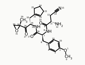 COc1ccc(C[C@H](NC(=O)[C@@H](N)CC#N)C(=O)N[C@@H](CC2=CCCC2)C(=O)[C@@]2(C)CO2)cc1